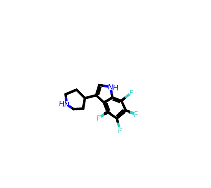 Fc1c(F)c(F)c2c(C3CCNCC3)c[nH]c2c1F